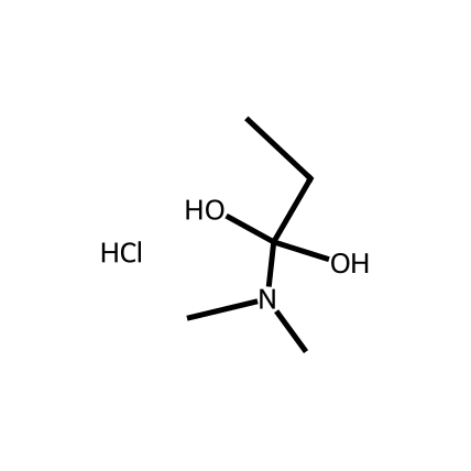 CCC(O)(O)N(C)C.Cl